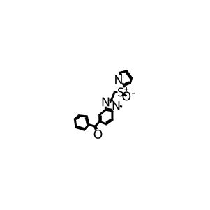 Cn1c(C[S+]([O-])c2ccccn2)nc2cc(C(=O)c3ccccc3)ccc21